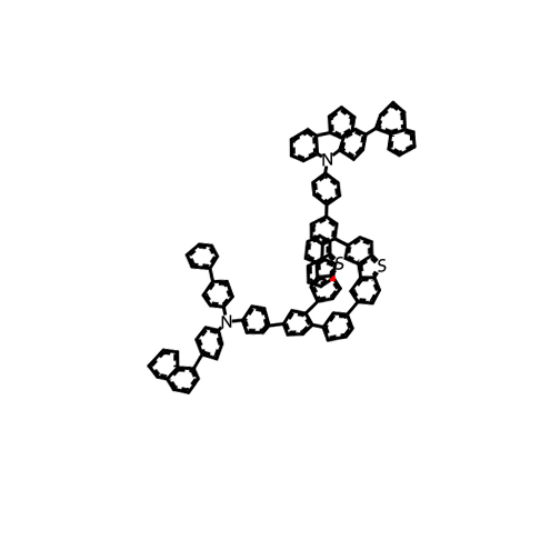 c1ccc(-c2ccc(N(c3ccc(-c4ccc(-c5cccc(-c6ccc7sc8ccc(-c9cc(-c%10ccc(N(c%11ccc(-c%12cccc%13ccccc%12%13)cc%11)c%11ccccc%11-c%11ccccc%11)cc%10)ccc9-c9ccccc9)cc8c7c6)c5)c(-c5ccc6sc7ccccc7c6c5)c4)cc3)c3ccc(-c4cccc5ccccc45)cc3)cc2)cc1